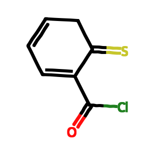 O=C(Cl)C1=CC=CCC1=S